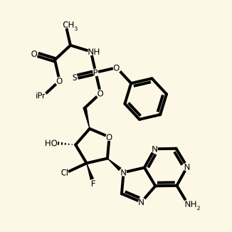 CC(C)OC(=O)C(C)NP(=S)(OC[C@H]1O[C@@H](n2cnc3c(N)ncnc32)[C@](F)(Cl)[C@@H]1O)Oc1ccccc1